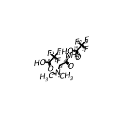 CN(C)CC(N)=O.O=C(O)C(F)(F)F.O=C(O)C(F)(F)F